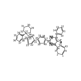 C1=CCC=c2c(sc3c(-c4ccccc4)nc(-c4ccc(-c5ccc6c(c5)C5(CCCCC5)c5ccccc5-6)cc4)nc23)=C1